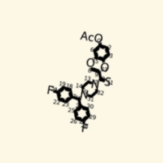 CC(=O)Oc1ccc2c(c1)OC=C(C(=S)N1CCN(C(c3ccc(F)cc3)c3ccc(F)cc3)CC1)O2